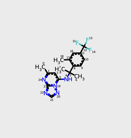 Cc1cc(NC(C)(C)c2ccc(C(F)(F)F)cc2C)n2ncnc2n1